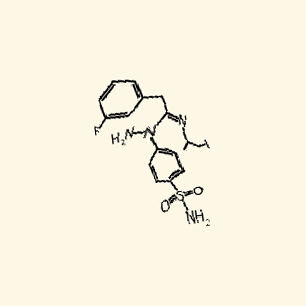 CC(I)/N=C(/Cc1cccc(F)c1)N(N)c1ccc(S(N)(=O)=O)cc1